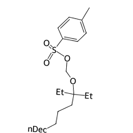 CCCCCCCCCCCCCC(CC)(CC)OCOS(=O)(=O)c1ccc(C)cc1